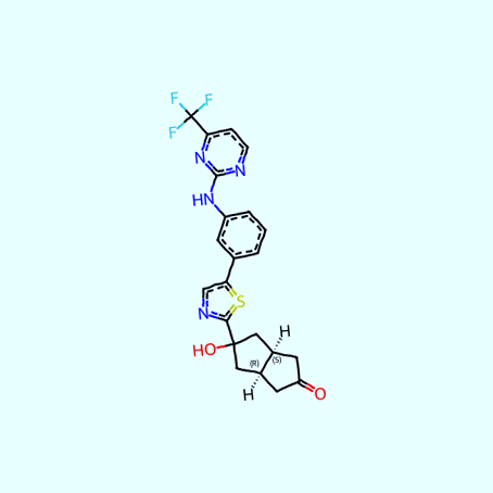 O=C1C[C@@H]2CC(O)(c3ncc(-c4cccc(Nc5nccc(C(F)(F)F)n5)c4)s3)C[C@@H]2C1